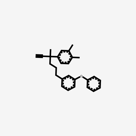 C#CC(C)(CCCc1cccc(Oc2ccccc2)c1)c1ccc(C)c(C)c1